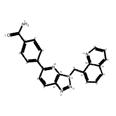 NC(=O)c1ccc(-c2ccc3nnn(Cc4cccc5cccnc45)c3n2)cc1